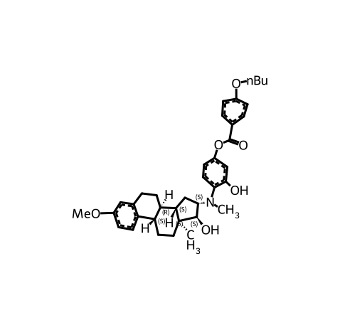 CCCCOc1ccc(C(=O)Oc2ccc(N(C)[C@H]3C[C@H]4[C@@H]5CCc6cc(OC)ccc6[C@H]5CC[C@]4(C)[C@@H]3O)c(O)c2)cc1